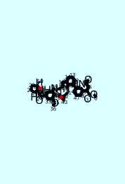 COC(=O)c1cc(=O)[nH]c2c(-c3cccc4cc(-c5nc6cc(C(=O)N7C[C@H]8CC[C@@H]7[C@@H]8N)cc(OC)c6n5C)n(CC5CC5)c34)cccc12